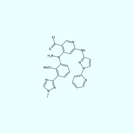 CCC(=O)c1cnc(Nc2ccn(-c3ccccn3)n2)cc1N(N)c1cccc(-c2ncn(C)n2)c1OC